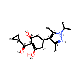 Cc1nn(C(C)C)c(C)c1C1CC(=O)C(C(=O)C2CC2)=C(O)C1